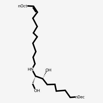 CCCCCCCC/C=C\CCCCCCCCN[C@@H](CO)[C@H](O)CCCCCCCCCCCCCCC